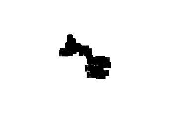 O=C(CCCCNC(=S)Nc1ccc(-c2c3ccc(=O)cc-3oc3cc(O)ccc23)c(C(=O)O)c1)OCC1O[C@H](O[C@H]2OC(CO)[C@@H](O)C(O)C2O)C(O)C(O)[C@@H]1O